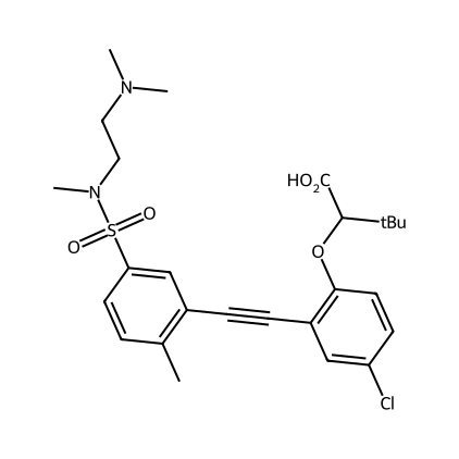 Cc1ccc(S(=O)(=O)N(C)CCN(C)C)cc1C#Cc1cc(Cl)ccc1OC(C(=O)O)C(C)(C)C